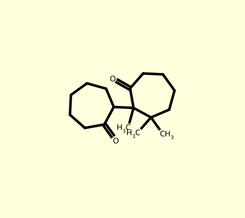 CC1(C)CCCCC(=O)C1(C)C1CCCCCC1=O